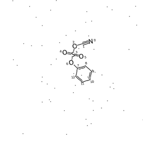 N#COS(=O)(=O)Oc1ccccc1